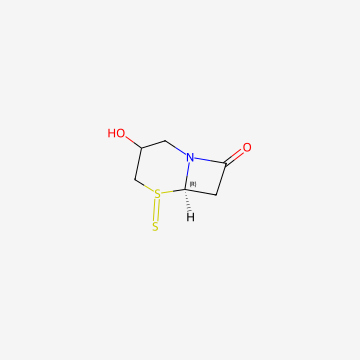 O=C1C[C@@H]2N1CC(O)CS2=S